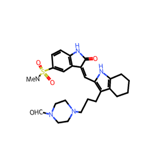 CNS(=O)(=O)c1ccc2c(c1)/C(=C/c1[nH]c3c(c1CCCN1CCN(C=O)CC1)CCCC3)C(=O)N2